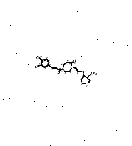 CO[C@H]1COCC[C@H]1NCCN1CCN(C(=O)/C=C/c2ccc(Cl)c(Cl)c2)CCC1=O